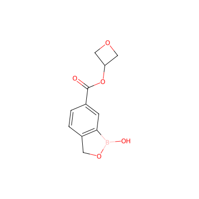 O=C(OC1COC1)c1ccc2c(c1)B(O)OC2